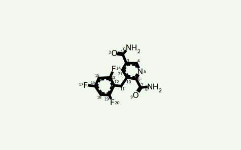 NC(=O)c1cnc(C(N)=O)c(Cc2c(F)cc(F)cc2F)c1